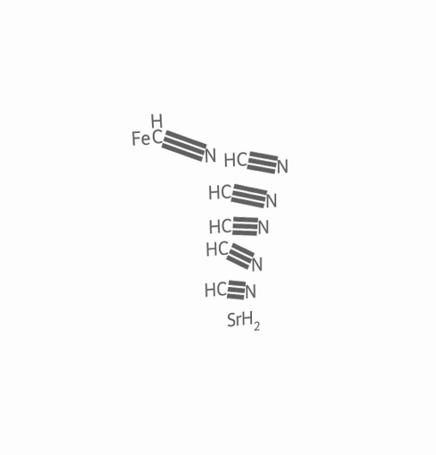 C#N.C#N.C#N.C#N.C#N.C#N.[Fe].[SrH2]